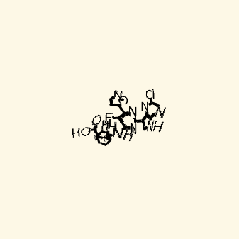 O=C(O)[C@@H]1C2CCC(CC2)[C@H]1Nc1nc(-c2c[nH]c3ncc(Cl)nc23)nc(-c2ccno2)c1F